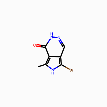 Cc1[nH]c(Br)c2cn[nH]c(=O)c12